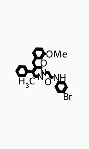 COc1cccc(Cc2c(-c3ccccc3)c(C)nn(CC(=O)Nc3ccc(Br)cc3)c2=O)c1